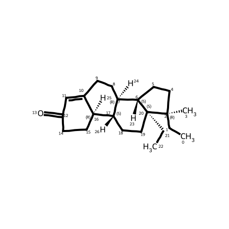 CC[C@]1(C)CC[C@H]2[C@@H]3CCC4=CC(=O)CC[C@@H]4[C@H]3CC[C@@]21CC